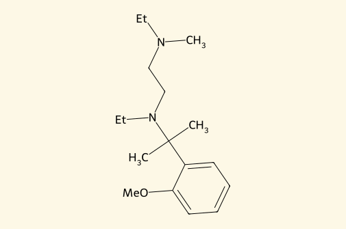 CCN(C)CCN(CC)C(C)(C)c1ccccc1OC